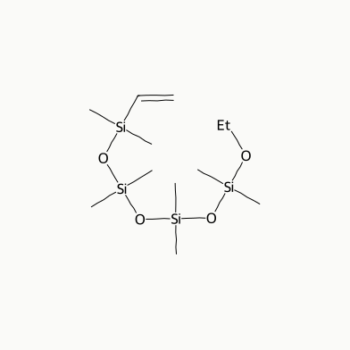 C=C[Si](C)(C)O[Si](C)(C)O[Si](C)(C)O[Si](C)(C)OCC